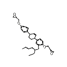 CCCCC(CC)Cc1cc(C2C=CC(c3ccc(OCC4CO4)cc3)CC2)ccc1OCC1CO1